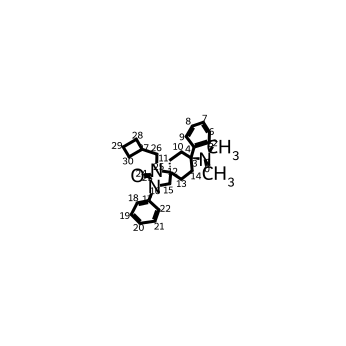 CN(C)[C@]1(c2ccccc2)CC[C@]2(CC1)CN(c1ccccc1)C(=O)N2CC1CCC1